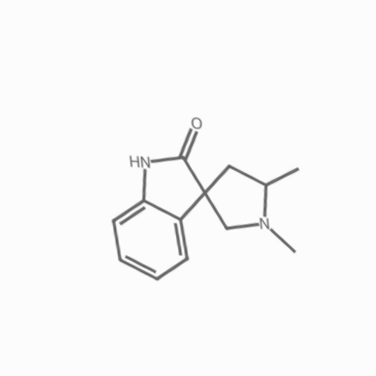 CC1CC2(CN1C)C(=O)Nc1ccccc12